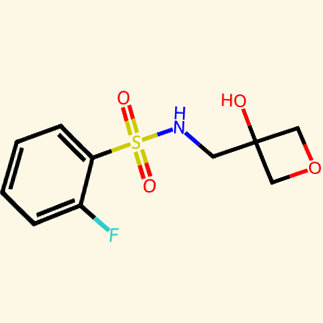 O=S(=O)(NCC1(O)COC1)c1ccccc1F